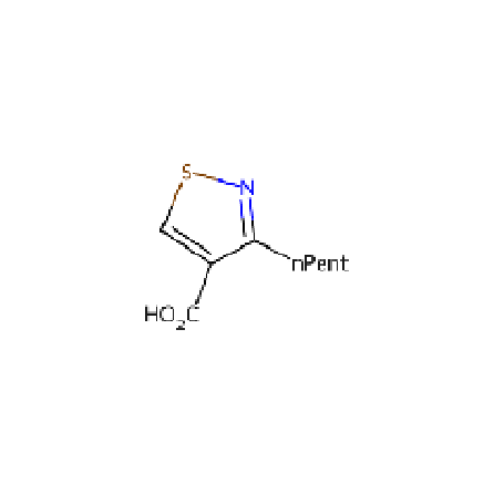 CCCCCc1nscc1C(=O)O